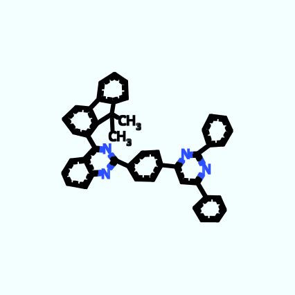 CC1(C)c2ccccc2-c2cccc(-c3nc(-c4ccc(-c5cc(-c6ccccc6)nc(-c6ccccc6)n5)cc4)nc4ccccc34)c21